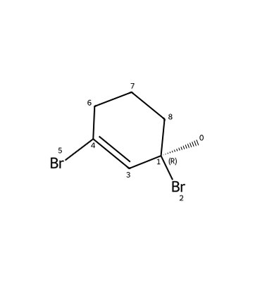 C[C@]1(Br)C=C(Br)CCC1